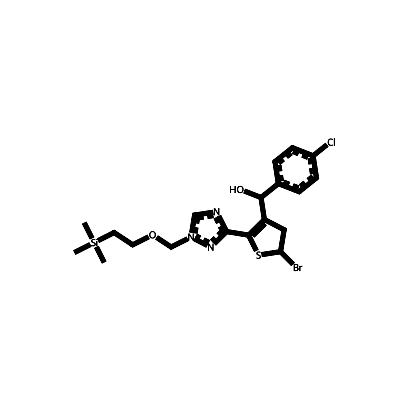 C[Si](C)(C)CCOCn1cnc(C2=C(C(O)c3ccc(Cl)cc3)CC(Br)S2)n1